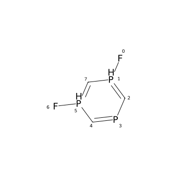 F[PH]1=CP=C[PH](F)=C1